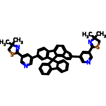 CC1(C)CSC(c2cncc(-c3ccc4c(c3)C3(c5ccccc5-c5ccccc53)c3c-4ccc4cc(-c5cncc(C6=NC(C)(C)CS6)c5)ccc34)c2)=N1